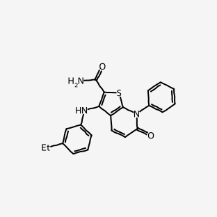 CCc1cccc(Nc2c(C(N)=O)sc3c2ccc(=O)n3-c2ccccc2)c1